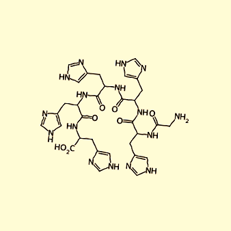 NCC(=O)NC(Cc1c[nH]cn1)C(=O)NC(Cc1c[nH]cn1)C(=O)NC(Cc1c[nH]cn1)C(=O)NC(Cc1c[nH]cn1)C(=O)NC(Cc1c[nH]cn1)C(=O)O